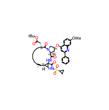 COc1ccc2c(O[C@@H]3C[C@H]4C(=O)NC5(C(=O)NS(=O)(=O)C6CC6)C[C@H]5/C=C\CCCCC[C@H](CC(=O)OC(C)(C)C)C(=O)N4C3)cc(-c3ccccc3)nc2c1